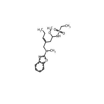 CC/C=C(\CC(NS(=O)(=O)CC)OC)CN(C)c1nc2ccccc2o1